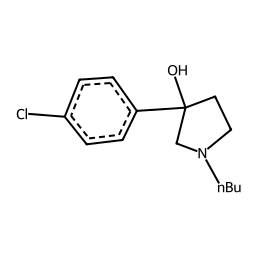 CCCCN1CCC(O)(c2ccc(Cl)cc2)C1